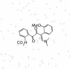 COc1ccccc1/C(=C\N(C)C)C(=O)C(=O)c1ccccc1C(=O)O